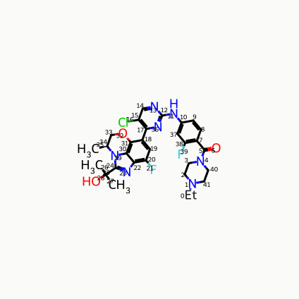 CCN1CCN(C(=O)c2ccc(Nc3ncc(Cl)c(-c4cc(F)c5nc(C(C)(C)O)n6c5c4OC[C@@H]6C)n3)cc2F)CC1